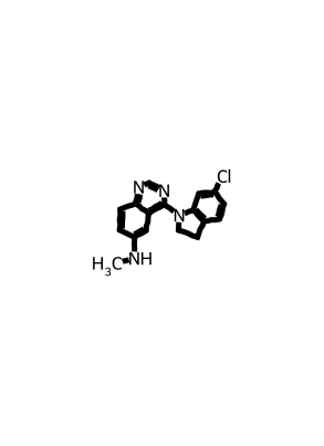 CNc1ccc2ncnc(N3CCc4ccc(Cl)cc43)c2c1